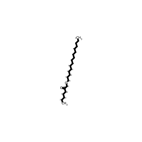 CCCCCCCCCCCCCCCCOCC(=O)CCCCC